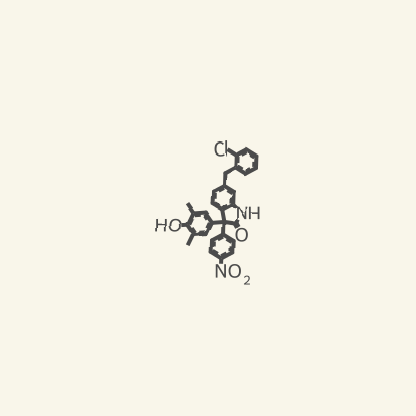 Cc1cc(C2(c3ccc([N+](=O)[O-])cc3)C(=O)Nc3cc(Cc4ccccc4Cl)ccc32)cc(C)c1O